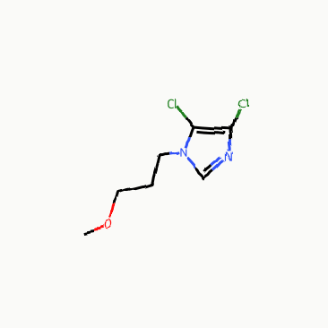 COCCCn1cnc(Cl)c1Cl